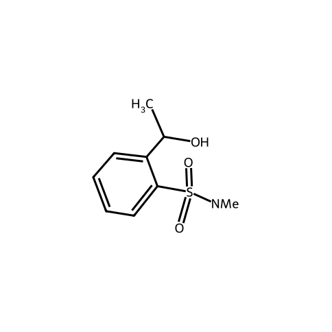 CNS(=O)(=O)c1ccccc1C(C)O